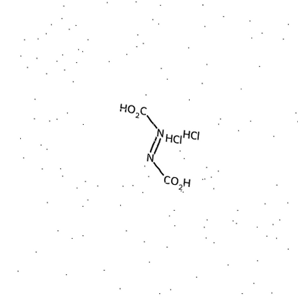 Cl.Cl.O=C(O)N=NC(=O)O